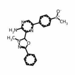 CN1N=C(c2ccccc2)OC1c1nc(-c2ccc([S+](C)[O-])cc2)cnc1N